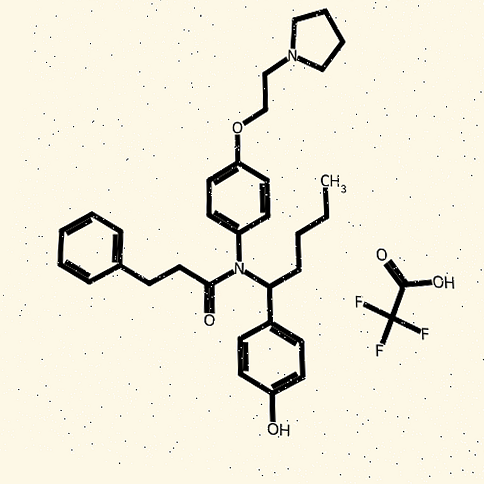 CCCCC(c1ccc(O)cc1)N(C(=O)CCc1ccccc1)c1ccc(OCCN2CCCC2)cc1.O=C(O)C(F)(F)F